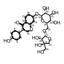 O=c1c(-c2ccc(O)cc2)coc2cc(O[C@@H]3O[C@H](CO[C@@H]4OC[C@](O)(CO)[C@H]4O)[C@@H](O)[C@H](O)[C@H]3O)ccc12